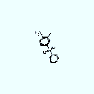 Cc1cc(S(=O)(=O)c2cc[c]cc2)ccc1N